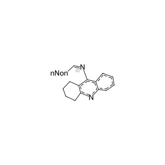 CCCCCCCCC/C=N\c1c2c(nc3ccccc13)CCCC2